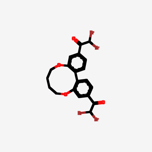 O=C(c1ccc2c(c1)OCCCCOc1cc(C(=O)C(Br)Br)ccc1-2)C(Br)Br